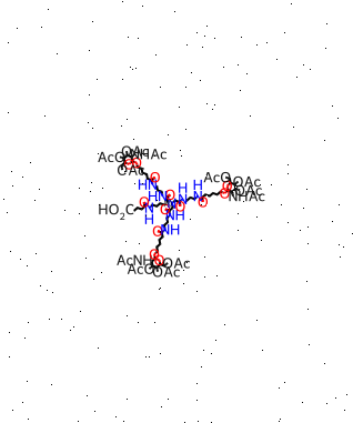 CC(=O)NC1C(OCCCCCC(=O)NCCCNC(=O)CN(CC(=O)NCCCNC(=O)CCCCCOC2OC(COC(C)=O)C(OC(C)=O)C(OC(C)=O)C2NC(C)=O)[C@H](CCCCNC(=O)CCCC(=O)O)C(=O)NCCCNC(=O)CCCCCOC2OC(COC(C)=O)C(OC(C)=O)C(OC(C)=O)C2NC(C)=O)OC(COC(C)=O)C(OC(C)=O)C1OC(C)=O